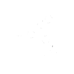 CCCC[C@H]1Cc2cc(OC)ccc2C(c2ccc(NC34CC5CC(CC(C5)C3)C4)cc2)N1Cc1ccccc1